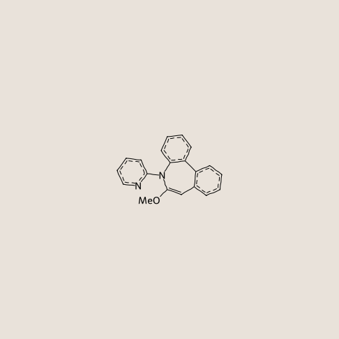 COC1=Cc2ccccc2-c2ccccc2N1c1ccccn1